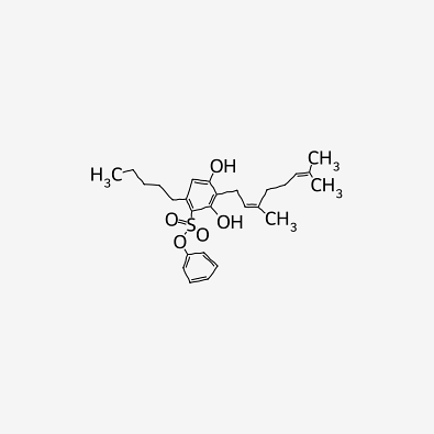 CCCCCc1cc(O)c(CC=C(C)CCC=C(C)C)c(O)c1S(=O)(=O)Oc1ccccc1